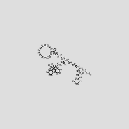 CCCCCCC(CSCCCCCC(CCCCCOC(=O)C1CCCCCCCCCCCCCC1)N(C)CCCCO[Si](c1ccccc1)(c1ccccc1)C(C)(C)C)OC(=O)CCC1CCCCC1